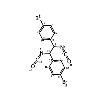 O=C=NC(c1ccc(Br)cc1)C(N=C=O)c1ccc(Br)cc1